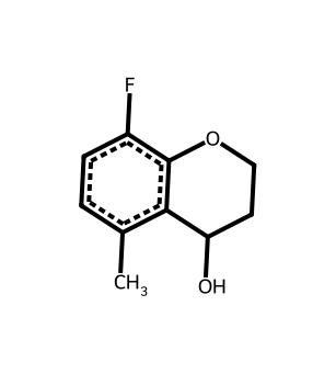 Cc1ccc(F)c2c1C(O)CCO2